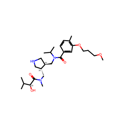 COCCCOc1cc(C(=O)N(C[C@@H]2CNC[C@H]2CN(C)C(=O)[C@@H](O)C(C)C)C(C)C)ccc1C